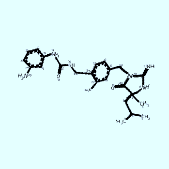 CC(C)CC1(C)NC(=N)N(Cc2ccc(CNC(=O)Nc3cccc(N)c3)c(F)c2)C1=O